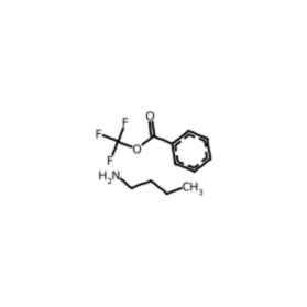 CCCCN.O=C(OC(F)(F)F)c1ccccc1